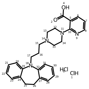 Cl.Cl.O=C(O)c1cccnc1N1CCN(CCCN2c3ccccc3CCc3ccccc32)CC1